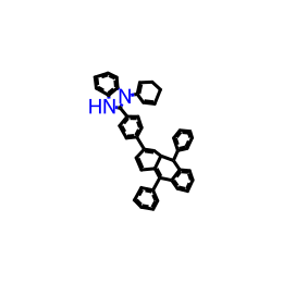 C1=CC(N2c3ccccc3NC2c2ccc(C3=CC4C(=C(c5ccccc5)c5ccccc5C4c4ccccc4)C=C3)cc2)=CCC1